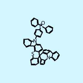 O=P(c1ccccc1)(c1ccccc1)c1ccc(-n2c3ccccc3c3c4c(ccc32)C2(c3ccccc3S4)c3ccccc3-n3c4ccccc4c4cccc2c43)cc1